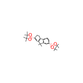 CC1(C)C2=C(CCC(B3OC(C)(C)C(C)(C)O3)=C2)c2ccc(B3OC(C)(C)C(C)(C)O3)cc21